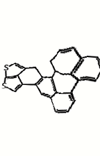 C1=Cc2cccc3c2C(C1)c1c2c(cc4cccc-3c14)-c1csc3scc(c13)C2